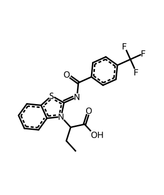 CCC(C(=O)O)n1/c(=N/C(=O)c2ccc(C(F)(F)F)cc2)sc2ccccc21